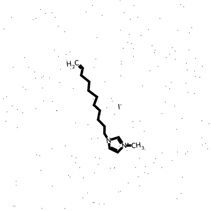 C=CCCCCCCCCCn1cc[n+](C)c1.[I-]